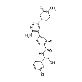 CN1CCC(c2cnc(N)c(-c3ccc(C(=O)N[C@H](CO)c4cccc(Cl)c4)c(F)c3)c2)CC1=O